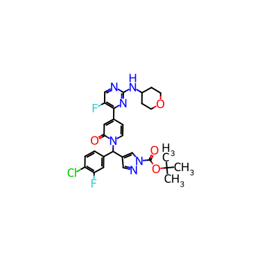 CC(C)(C)OC(=O)n1cc(C(c2ccc(Cl)c(F)c2)n2ccc(-c3nc(NC4CCOCC4)ncc3F)cc2=O)cn1